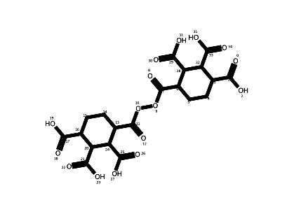 O=C(O)C1CCC(C(=O)OOC(=O)C2CCC(C(=O)O)C(C(=O)O)C2C(=O)O)C(C(=O)O)C1C(=O)O